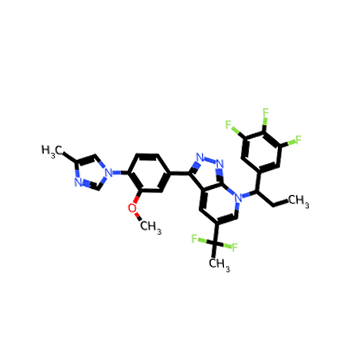 CCC(c1cc(F)c(F)c(F)c1)n1cc(C(C)(F)F)cc2c(-c3ccc(-n4cnc(C)c4)c(OC)c3)nnc1-2